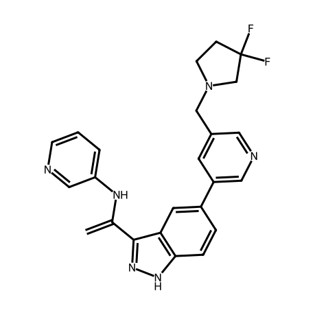 C=C(Nc1cccnc1)c1n[nH]c2ccc(-c3cncc(CN4CCC(F)(F)C4)c3)cc12